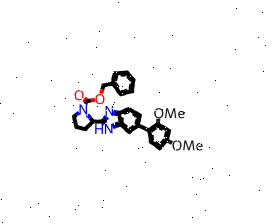 COc1ccc(-c2ccc3nc(C4CCCN4C(=O)OCc4ccccc4)[nH]c3c2)c(OC)c1